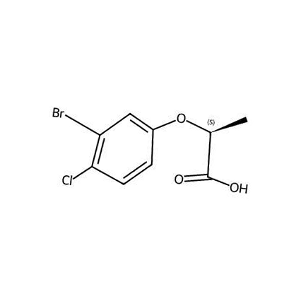 C[C@H](Oc1ccc(Cl)c(Br)c1)C(=O)O